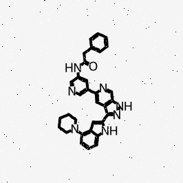 O=C(Cc1ccccc1)Nc1cncc(-c2cc3c(-c4cc5c(N6CCCCC6)cccc5[nH]4)n[nH]c3cn2)c1